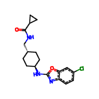 O=C(NC[C@H]1CC[C@H](Nc2nc3ccc(Cl)cc3o2)CC1)C1CC1